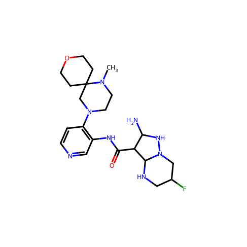 CN1CCN(c2ccncc2NC(=O)C2C(N)NN3CC(F)CNC23)CC12CCOCC2